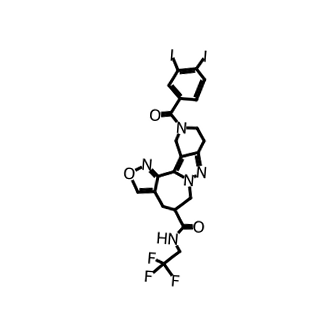 O=C(NCC(F)(F)F)C1Cc2conc2-c2c3c(nn2C1)CCN(C(=O)c1ccc(I)c(I)c1)C3